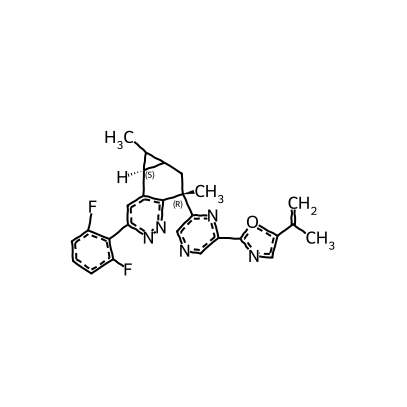 C=C(C)c1cnc(-c2cncc([C@@]3(C)CC4C(C)[C@@H]4c4cc(-c5c(F)cccc5F)nnc43)n2)o1